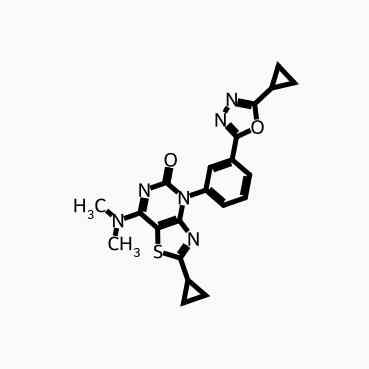 CN(C)c1nc(=O)n(-c2cccc(-c3nnc(C4CC4)o3)c2)c2nc(C3CC3)sc12